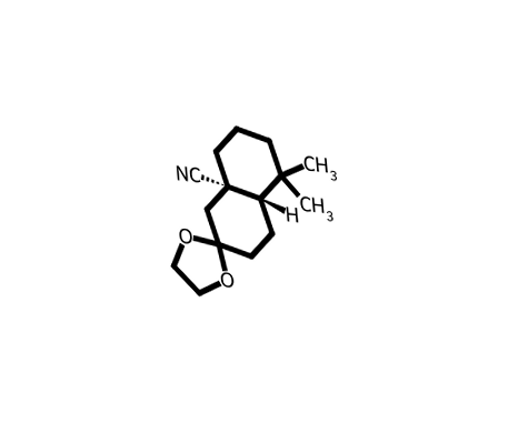 CC1(C)CCC[C@]2(C#N)CC3(CC[C@@H]12)OCCO3